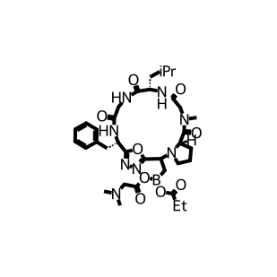 CCC(=O)OB(CC1c2nnc(o2)[C@H](Cc2ccccc2)NC(=O)CNC(=O)[C@H](CC(C)C)NC(=O)CN(C)C(=O)[C@@H]2CCCN12)OC(=O)CN(C)C